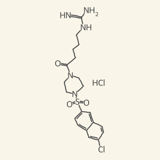 Cl.N=C(N)NCCCCC(=O)N1CCN(S(=O)(=O)c2ccc3cc(Cl)ccc3c2)CC1